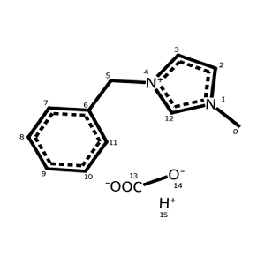 Cn1cc[n+](Cc2ccccc2)c1.O=C([O-])[O-].[H+]